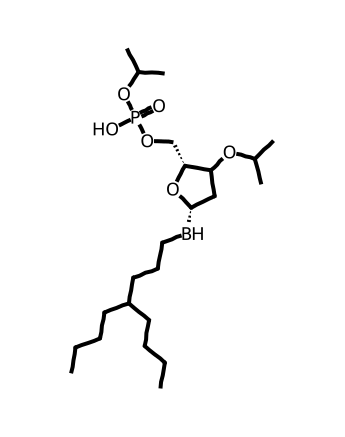 CCCCC(CCCC)CCCB[C@H]1CC(OC(C)C)[C@@H](COP(=O)(O)OC(C)C)O1